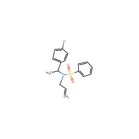 C=CCN(C(C)c1ccc(Cl)cc1)S(=O)(=O)c1ccccc1